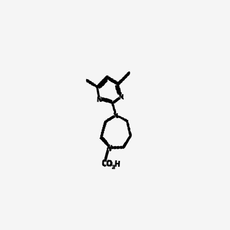 Cc1cc(C)nc(N2CCCN(C(=O)O)CC2)n1